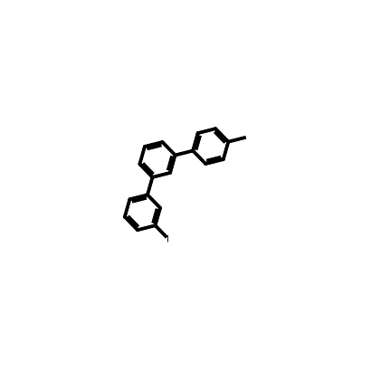 Cc1ccc(-c2cccc(-c3cccc(I)c3)c2)cc1